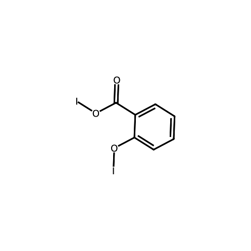 O=C(OI)c1ccccc1OI